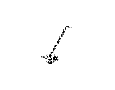 COCCOCCOCCOCCOCCOCCOCCOCCOCCN(CC(C(=O)Oc1c(F)c(F)c(F)c(F)c1F)N1C(=O)C=CC1=O)C(=O)OC(C)(C)C